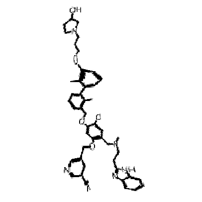 Cc1c(COc2cc(OCc3cncc(C#N)c3)c(CN(C)CCc3nc4ccccc4[nH]3)cc2Cl)cccc1-c1cccc(OCCCN2CCC(O)C2)c1C